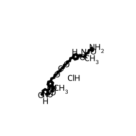 C[C@@H](OCc1ccc(CCCOCCOCCOCCCc2ccc3c(c2)n(C)c(=O)n3C2CCC(=O)NC2=O)cc1)[C@@H](N)CCC(N)=O.Cl